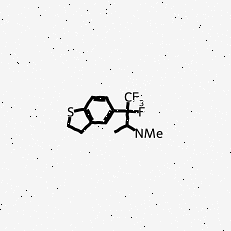 CNC(C)C(F)(c1ccc2c(c1)CCS2)C(F)(F)F